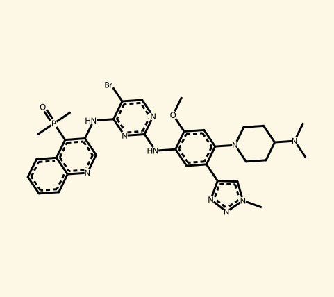 COc1cc(N2CCC(N(C)C)CC2)c(-c2cn(C)nn2)cc1Nc1ncc(Br)c(Nc2cnc3ccccc3c2P(C)(C)=O)n1